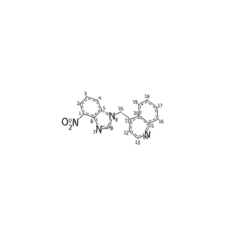 O=[N+]([O-])c1cccc2c1ncn2Cc1ccnc2ccccc12